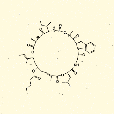 C/C=C(\C)[C@H]1OC(=O)[C@@H](C)NC(=O)[C@H]([C@H](C)CC)NC(=O)CN(C)C(=O)[C@@H](Cc2ccccc2)N(C)C(=O)[C@H](C)NC(=O)[C@@H](CC(C)C)OC(=O)/C(C)=C/C[C@H](OC(=O)CCCC)[C@@H]1C